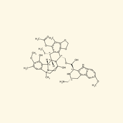 COc1ccc2[nH]c3c(c2c1)C[C@H](CN)N[C@H]3C(O)OC[C@H]1c2c3c(c(C)c(OC(C)=O)c2[C@@H](SC)[C@H]2[C@H]4c5c(cc(C)c(OC)c5O)C5(C)CC(O)(CN45)N21)OCO3